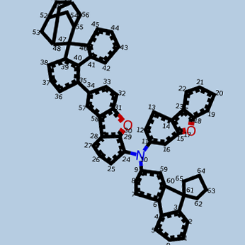 c1ccc2c(c1)-c1ccc(N(c3ccc4c(c3)oc3ccccc34)c3cccc4c3oc3ccc(-c5cccc6c5-c5ccccc5C65C6CC7CC(C6)CC5C7)cc34)cc1C21CCCC1